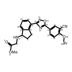 COC(=O)CNC1CCc2c(-c3noc(-c4ccc(OC(C)C)c(C#N)c4)n3)cccc21